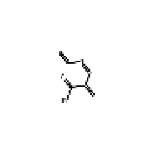 C=C/N=C\C(=C)C(=O)C(C)C